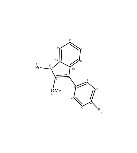 COc1c(-c2ccc(F)cc2)c2ccccc2n1C(C)C